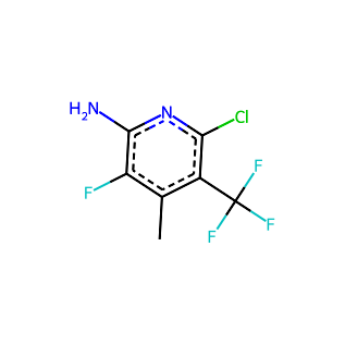 Cc1c(F)c(N)nc(Cl)c1C(F)(F)F